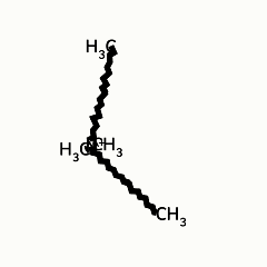 CCCCCCCCC=CCCCCCCCCC[N+](C)(C)CCCCCCCCC=CCCCCCCCC